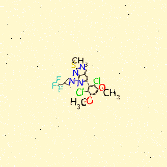 COc1cc(OC)c(Cl)c(-c2cc3cnc(SC)nc3c(N3CC(C(F)(F)F)C3)n2)c1Cl